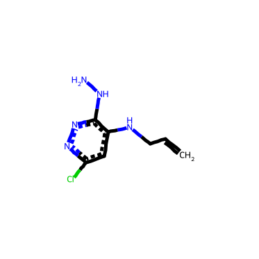 C=CCNc1cc(Cl)nnc1NN